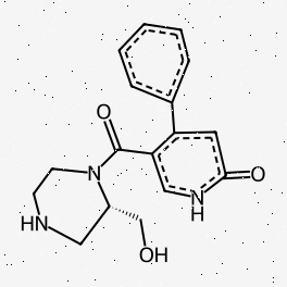 O=C(c1c[nH]c(=O)cc1-c1ccccc1)N1CCNC[C@H]1CO